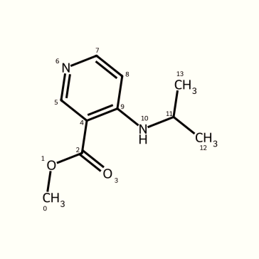 COC(=O)c1cnccc1NC(C)C